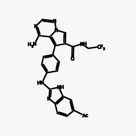 CC(=O)c1ccc2nc(Nc3ccc(-c4c(C(=O)NCC(F)(F)F)cn5ncnc(N)c45)cc3)[nH]c2c1